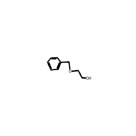 OCCOCc1cc[c]cc1